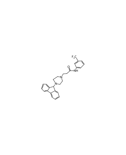 O=C(CCN1CCN(C2c3ccccc3-c3ccccc32)CC1)Nc1cccc(C(F)(F)F)c1